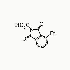 CCOC(=O)N1C(=O)c2cccc(CC)c2C1=O